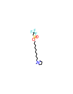 C[N+]1(CCCCCCCCCCOS(=O)CC(F)(F)F)CCCC1